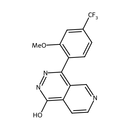 COc1cc(C(F)(F)F)ccc1-c1nnc(O)c2ccncc12